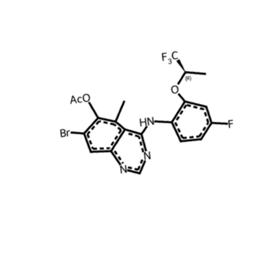 CC(=O)Oc1c(Br)cc2ncnc(Nc3ccc(F)cc3O[C@H](C)C(F)(F)F)c2c1C